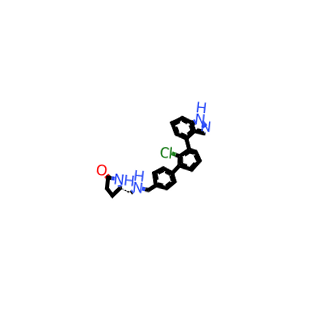 O=C1CC[C@@H](CNCc2ccc(-c3cccc(-c4cccc5[nH]ncc45)c3Cl)cc2)N1